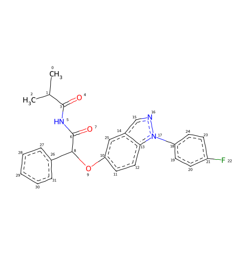 CC(C)C(=O)NC(=O)C(Oc1ccc2c(cnn2-c2ccc(F)cc2)c1)c1ccccc1